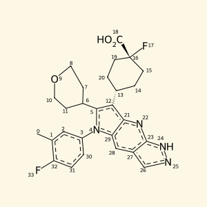 Cc1cc(-n2c(C3CCOCC3)c([C@H]3CC[C@](F)(C(=O)O)CC3)c3nc4[nH]ncc4cc32)ccc1F